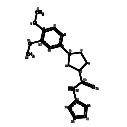 COc1ccc(N2CCC(C(=O)Nc3ccsc3)C2)cc1OC